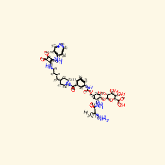 CC(N)C(=O)Nc1cc(COC(=O)Nc2cccc(C(=O)N3CCC(CCCCNc4c(Nc5ccncc5)c(=O)c4=O)CC3)c2)ccc1O[C@@H]1O[C@H](C(=O)O)[C@@H](O)[C@H](O)[C@H]1O